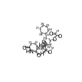 CS(=O)(=O)OC[C@]12CO[C@H]([C@H](n3ccc(=O)[nH]c3=O)O1)[C@H]2OCc1ccccc1